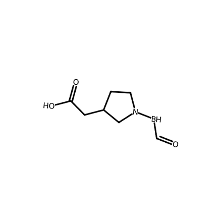 O=CBN1CCC(CC(=O)O)C1